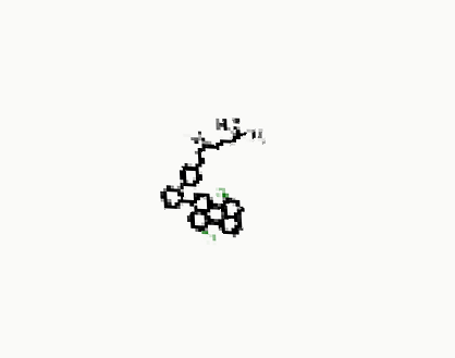 CC(C)=CCC[C@H](C)CCc1ccc(-c2ccccc2-c2ccc3c4c(Cl)ccc5cccc(c6c(Cl)ccc2c36)c54)cc1